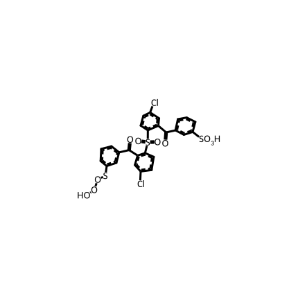 O=C(c1cccc(SOOO)c1)c1cc(Cl)ccc1S(=O)(=O)c1ccc(Cl)cc1C(=O)c1cccc(S(=O)(=O)O)c1